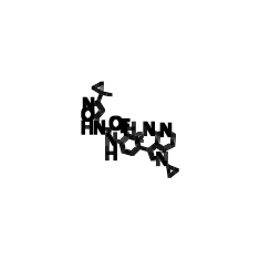 CC1(c2cc(NC(=O)Nc3ccc(-c4cn(C5CC5)c5ccnc(N)c45)cc3F)on2)CC1